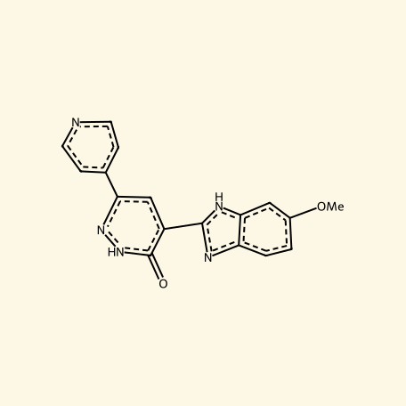 COc1ccc2nc(-c3cc(-c4ccncc4)n[nH]c3=O)[nH]c2c1